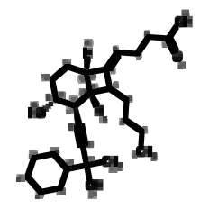 CCCCC1C(=CCCC(=O)O)[C@H]2CC[C@@H](O)[C@H](C#CC(C)(O)C3CCCCC3)[C@@H]12